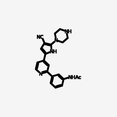 CC(=O)Nc1cccc(-c2cc(-c3cc(C#N)c(N4CCNCC4)[nH]3)ccn2)c1